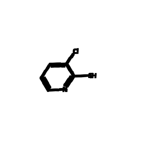 Sc1ncccc1Cl